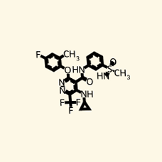 Cc1cc(F)ccc1Oc1nnc(C(F)(F)F)c(NC2CC2)c1C(=O)Nc1cccc([S@@](C)(=N)=O)c1